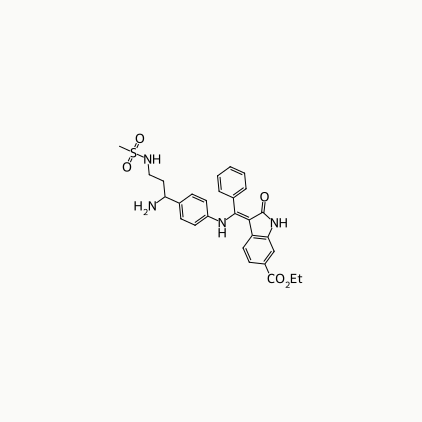 CCOC(=O)c1ccc2c(c1)NC(=O)C2=C(Nc1ccc(C(N)CCNS(C)(=O)=O)cc1)c1ccccc1